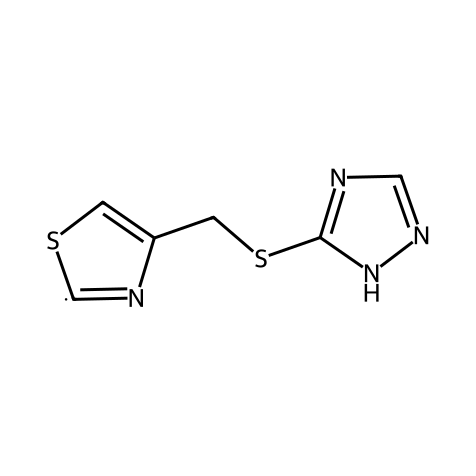 [c]1nc(CSc2ncn[nH]2)cs1